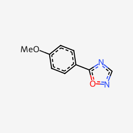 COc1ccc(-c2ncno2)cc1